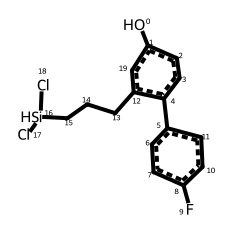 Oc1ccc(-c2ccc(F)cc2)c(CCC[SiH](Cl)Cl)c1